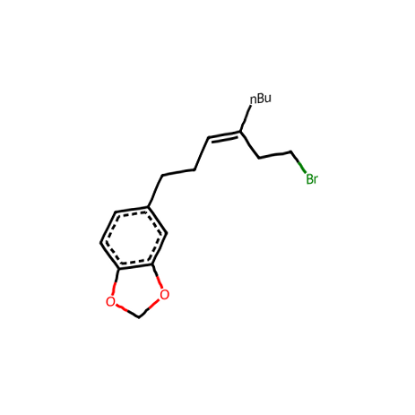 CCCCC(=CCCc1ccc2c(c1)OCO2)CCBr